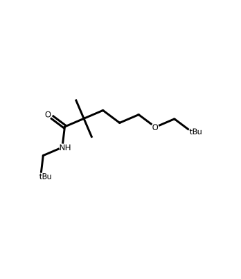 CC(C)(C)CNC(=O)C(C)(C)CCCOCC(C)(C)C